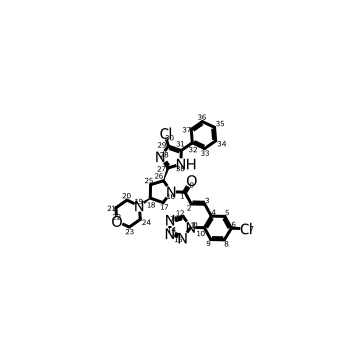 O=C(/C=C/c1cc(Cl)ccc1-n1cnnn1)N1C[C@@H](N2CCOCC2)C[C@H]1c1nc(Cl)c(-c2ccccc2)[nH]1